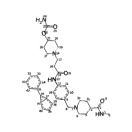 CNC(=O)C1CCN(Cc2ccc(NC(=O)CCN3CCC(OC(N)=O)CC3)cc2)CC1.c1ccc(-c2c3cccc2-3)cc1